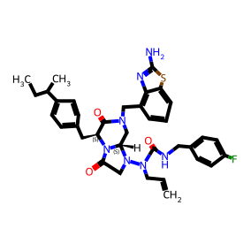 C=CCN(C(=O)NCc1ccc(F)cc1)N1CC(=O)N2[C@@H](Cc3ccc(C(C)CC)cc3)C(=O)N(Cc3cccc4sc(N)nc34)C[C@@H]21